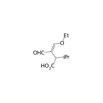 CCOC=C(C=O)C(C(=O)O)C(C)C